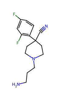 N#CC1(c2ccc(F)cc2F)CCN(CCCN)CC1